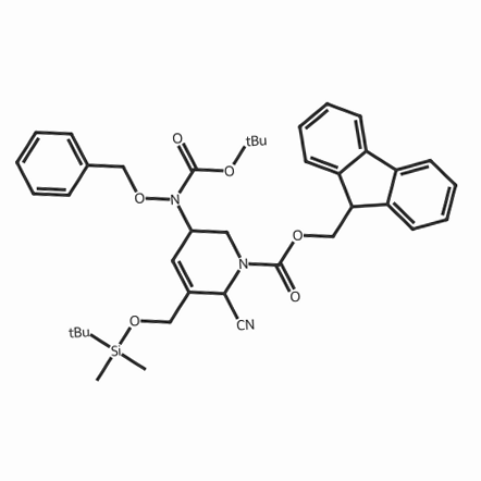 CC(C)(C)OC(=O)N(OCc1ccccc1)C1C=C(CO[Si](C)(C)C(C)(C)C)C(C#N)N(C(=O)OCC2c3ccccc3-c3ccccc32)C1